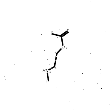 C=C(C)OCCNC